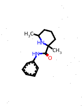 CC1CCCC(C)(C(=O)Nc2ccccc2)N1